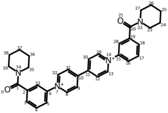 O=C(c1cccc(-[n+]2ccc(-c3cc[n+](-c4cccc(C(=O)N5CCCCC5)c4)cc3)cc2)c1)N1CCCCC1